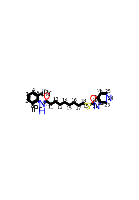 CC(C)c1cccc(C(C)C)c1NC(=O)CCCCCCCCSc1nc2cnccc2o1